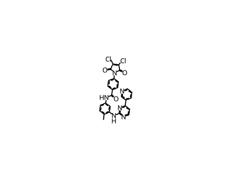 Cc1ccc(NC(=O)c2ccc(N3C(=O)C(Cl)=C(Cl)C3=O)cc2)cc1Nc1nccc(-c2cccnc2)n1